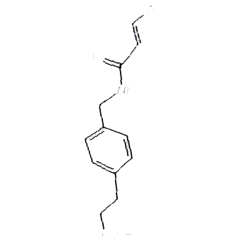 CC(=O)/C=C/C(=O)NCc1ccc(CCC(=O)O)cc1